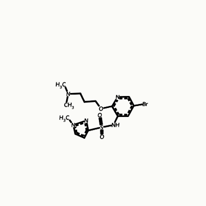 CN(C)CCCOc1ncc(Br)cc1NS(=O)(=O)c1ccn(C)n1